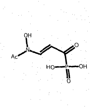 CC(=O)N(O)C=CC(=O)P(=O)(O)O